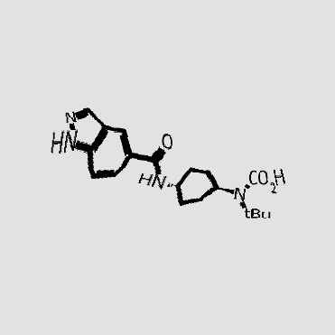 CC(C)(C)N(C(=O)O)[C@H]1CC[C@H](NC(=O)c2ccc3[nH]ncc3c2)CC1